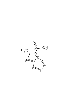 Cc1nc2ccccn2c1C(=O)O